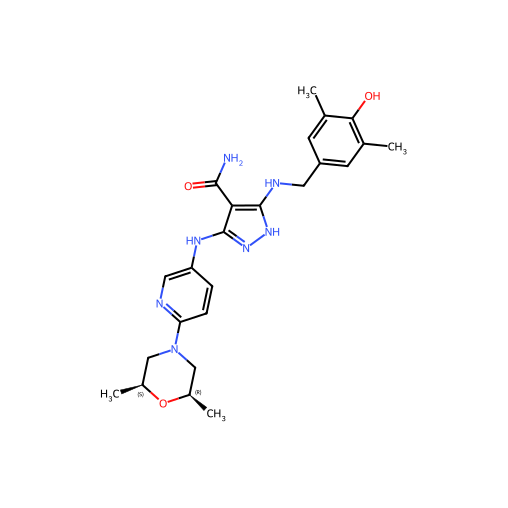 Cc1cc(CNc2[nH]nc(Nc3ccc(N4C[C@@H](C)O[C@@H](C)C4)nc3)c2C(N)=O)cc(C)c1O